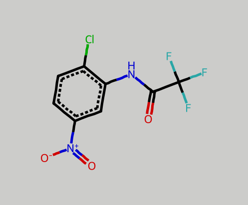 O=C(Nc1cc([N+](=O)[O-])ccc1Cl)C(F)(F)F